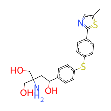 Cc1cnc(-c2ccc(Sc3ccc(C(O)CC(N)(CO)CO)cc3)cc2)s1